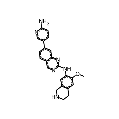 COc1cc2c(cc1Nc1ncc3ccc(-c4ccc(N)nc4)cc3n1)CNCC2